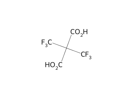 O=C(O)C(C(=O)O)(C(F)(F)F)C(F)(F)F